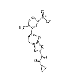 Cc1ccc([N+](=O)[O-])cc1-c1ccc2nc(NC(=O)C3CC3)sc2n1